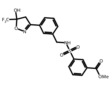 COC(=O)c1cccc(S(=O)(=O)NCc2cccc(C3=NOC(O)(C(F)(F)F)C3)c2)c1